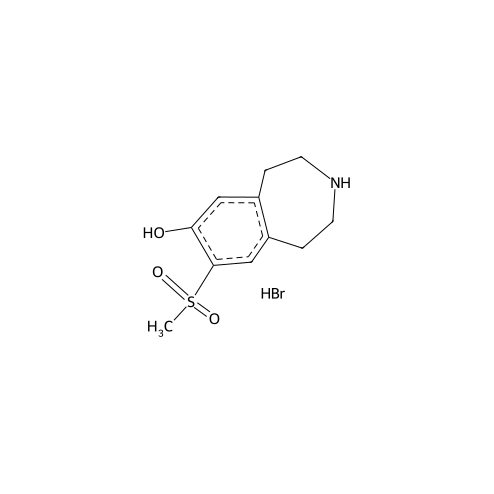 Br.CS(=O)(=O)c1cc2c(cc1O)CCNCC2